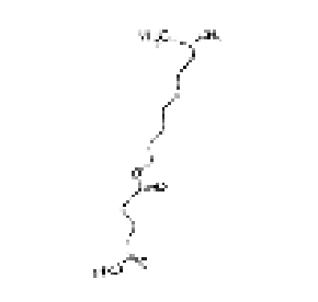 CC(C)CCCCCCCOC(=O)CCCC(=O)O